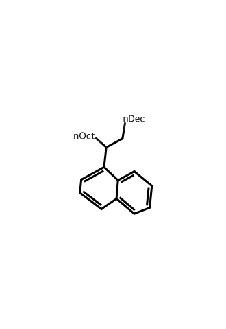 CCCCCCCCCCCC(CCCCCCCC)c1cccc2ccccc12